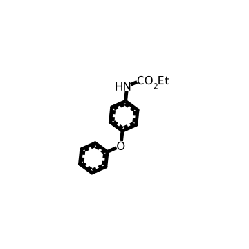 CCOC(=O)Nc1ccc(Oc2ccccc2)cc1